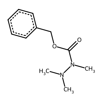 CN(C)N(C)C(=O)OCc1ccccc1